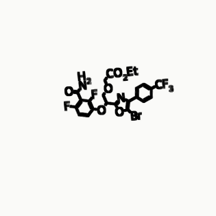 CCOC(=O)COCC(Oc1ccc(F)c(C(N)=O)c1F)c1nc(-c2ccc(C(F)(F)F)cc2)c(Br)o1